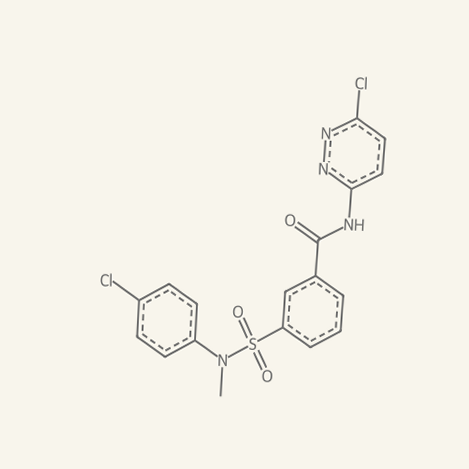 CN(c1ccc(Cl)cc1)S(=O)(=O)c1cccc(C(=O)Nc2ccc(Cl)nn2)c1